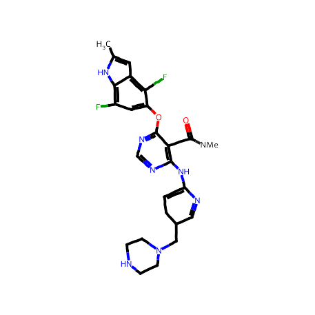 CNC(=O)c1c(NC2=CCC(CN3CCNCC3)C=N2)ncnc1Oc1cc(F)c2[nH]c(C)cc2c1F